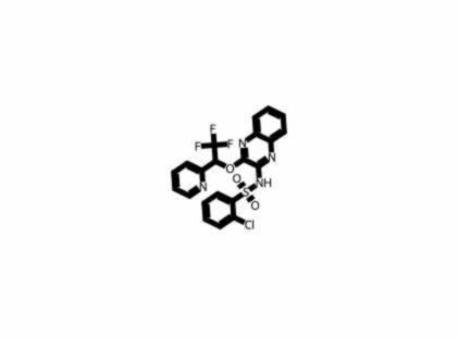 O=S(=O)(Nc1nc2ccccc2nc1OC(c1ccccn1)C(F)(F)F)c1ccccc1Cl